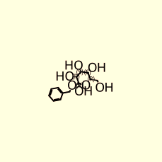 OC[C@H]1O[C@](O)(OCc2ccccc2)[C@H](O)[C@@H](O)[C@@H]1O